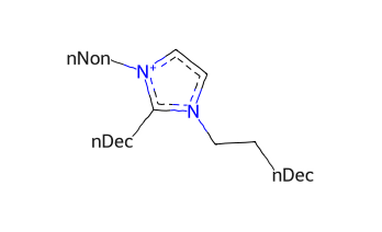 CCCCCCCCCCCCn1cc[n+](CCCCCCCCC)c1CCCCCCCCCC